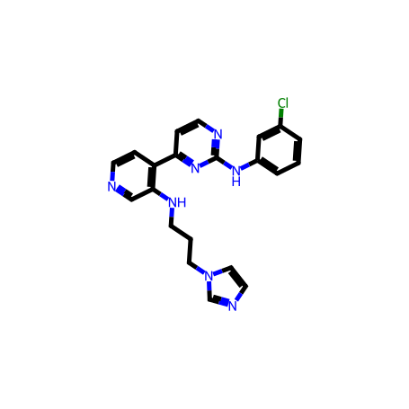 Clc1cccc(Nc2nccc(-c3ccncc3NCCCn3ccnc3)n2)c1